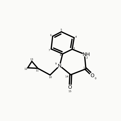 O=c1[nH]c2ccccc2n(CC2CC2)c1=O